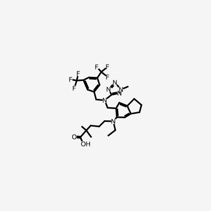 CCN(CCCC(C)(C)C(=O)O)c1cc2c(cc1CN(Cc1cc(C(F)(F)F)cc(C(F)(F)F)c1)c1nnn(C)n1)CCC2